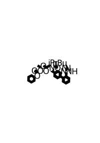 CCCCC(=O)N(Cc1ccc(-c2ccccc2-c2nnn[nH]2)cc1)[C@@H](C(=O)OC(C)OC(=O)OC1CCCCC1)C(C)C